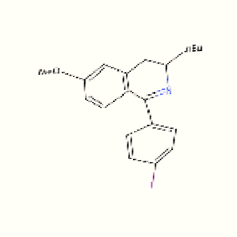 CCCCC1Cc2cc(OC)ccc2C(c2ccc(I)cc2)=N1